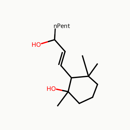 CCCCCC(O)C=CC1C(C)(C)CCCC1(C)O